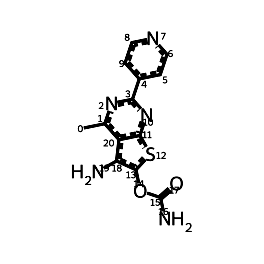 Cc1nc(-c2ccncc2)nc2sc(OC(N)=O)c(N)c12